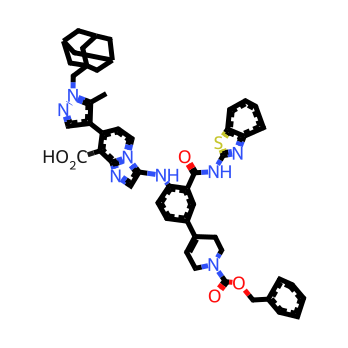 Cc1c(-c2ccn3c(Nc4ccc(C5=CCN(C(=O)OCc6ccccc6)CC5)cc4C(=O)Nc4nc5ccccc5s4)cnc3c2C(=O)O)cnn1CC12CC3CC(CC(C3)C1)C2